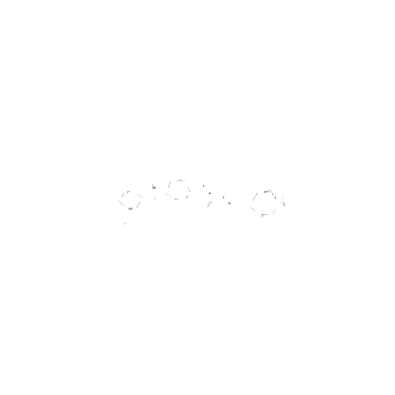 O=C(NCc1ccncc1)Nc1ccc(S(=O)(=O)c2cccc(F)c2)cc1